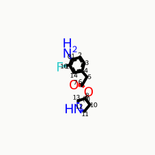 Nc1ccc(CC(=O)O[C@H]2CCNC2)cc1F